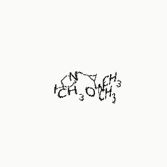 CN(C)C(=O)C1CC1CN1CCC(C)(I)CC1